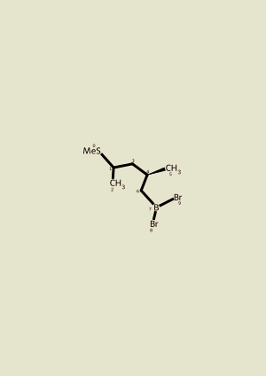 CSC(C)C[C@@H](C)CB(Br)Br